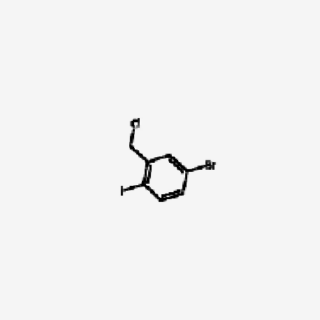 ClCc1cc(Br)ccc1I